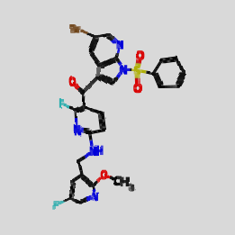 COc1ncc(F)cc1CNc1ccc(C(=O)c2cn(S(=O)(=O)c3ccccc3)c3ncc(Br)cc23)c(F)n1